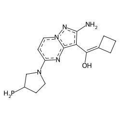 Nc1nn2ccc(N3CCC(P)C3)nc2c1C(O)=C1CCC1